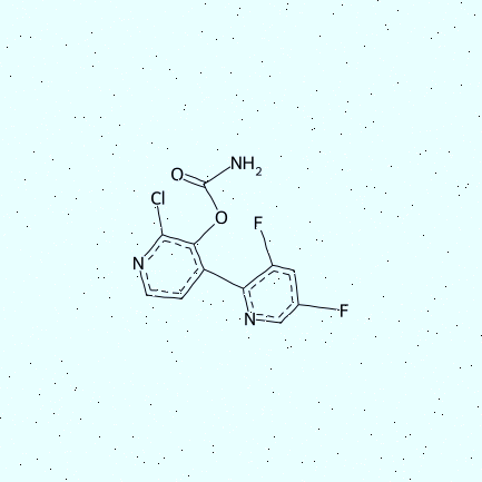 NC(=O)Oc1c(-c2ncc(F)cc2F)ccnc1Cl